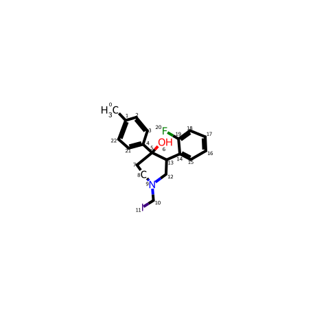 Cc1ccc(C2(O)CCN(CI)CC2c2ccccc2F)cc1